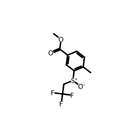 COC(=O)c1ccc(C)c([S+]([O-])CC(F)(F)F)c1